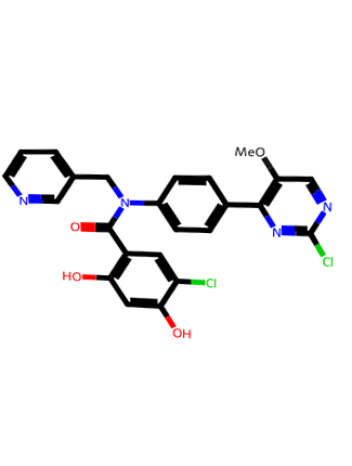 COc1cnc(Cl)nc1-c1ccc(N(Cc2cccnc2)C(=O)c2cc(Cl)c(O)cc2O)cc1